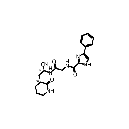 N#C[C@H](C[C@@H]1CCCNC1=O)NC(=O)CNC(=O)c1nc(-c2ccccc2)c[nH]1